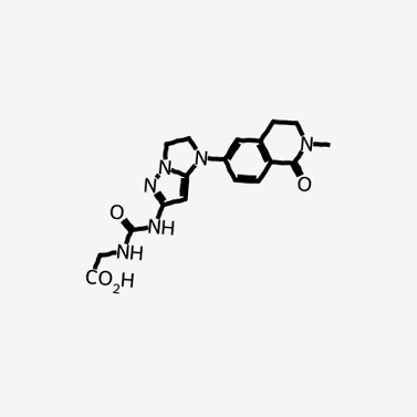 CN1CCc2cc(N3CCn4nc(NC(=O)NCC(=O)O)cc43)ccc2C1=O